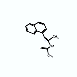 CC(=O)N/C(C)=C/c1cccc2ccccc12